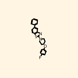 Fc1ccc(OC2CCN(c3nc4cc(-c5ccccc5)ccc4s3)CC2)cc1